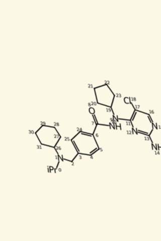 CC(C)N(Cc1ccc(C(=O)NN(c2nc(N)ncc2Cl)C2CCCC2)cc1)C1CCCCC1